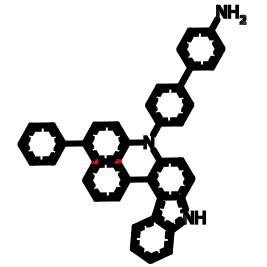 Nc1ccc(-c2ccc(N(c3ccc(-c4ccccc4)cc3)c3ccc4[nH]c5ccccc5c4c3-c3ccccc3)cc2)cc1